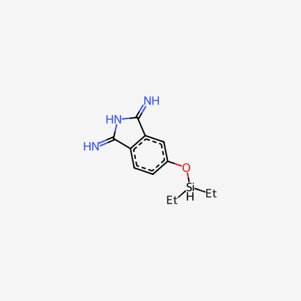 CC[SiH](CC)Oc1ccc2c(c1)C(=N)NC2=N